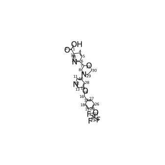 O=C(O)c1ccc(C2CN(c3cncc(OCc4ccc(OC(F)(F)F)cc4)c3)CCO2)nc1